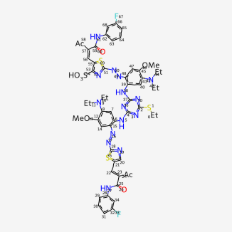 CCSc1nc(Nc2cc(N(CC)CC)c(OC)cc2/N=N/c2ncc(/C=C(\C(C)=O)C(=O)Nc3cccc(F)c3)s2)nc(Nc2cc(N(CC)CC)c(OC)cc2/N=N/c2nc(S(=O)(=O)O)c(/C=C(/C(C)=O)C(=O)Nc3cccc(F)c3)s2)n1